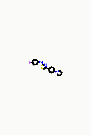 Ic1ccc(Nc2nc(-c3ccc(N4CCCC4)cc3)cs2)cc1